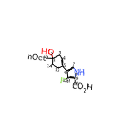 CCCCCCCCC1(O)CC=C(c2c[nH]c(C(=O)O)c2F)CC1